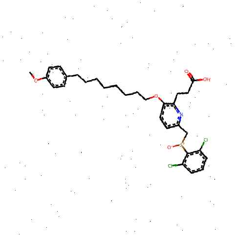 COc1ccc(CCCCCCCCOc2ccc(C[S+]([O-])c3c(Cl)cccc3Cl)nc2CCC(=O)O)cc1